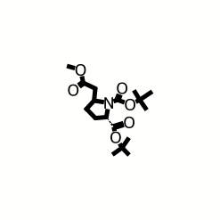 COC(=O)CC1CC[C@@H](C(=O)OC(C)(C)C)N1C(=O)OC(C)(C)C